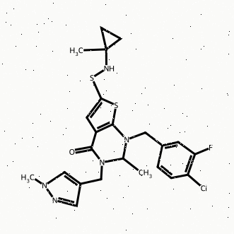 CC1N(Cc2cnn(C)c2)C(=O)c2cc(SNC3(C)CC3)sc2N1Cc1ccc(Cl)c(F)c1